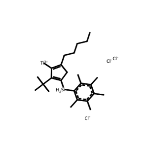 CCCCCC1=[C]([Ti+3])C(C(C)(C)C)=C([SiH2]c2c(C)c(C)c(C)c(C)c2C)C1.[Cl-].[Cl-].[Cl-]